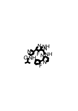 CC(C)C(=O)Nc1cncc(-c2cnc3[nH]nc(-c4nc5c(-c6ccccc6F)nccc5[nH]4)c3c2F)c1